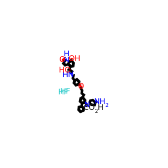 F.F.NC1CCC(N(C(=O)O)c2cc(CCCCOc3ccc(CCNC[C@H](O)c4ccc(O)c5[nH]c(=O)ccc45)cc3)ccc2-c2ccccc2)CC1